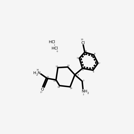 Cl.Cl.NCC1(c2cccc(Cl)c2)CCC(C(N)=O)CC1